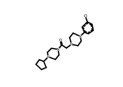 O=C(CN1CCN(c2cccc(Cl)c2)CC1)N1CCN(C2CCCC2)CC1